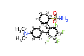 CN(C)c1ccc(-c2c(F)c(F)c(F)c(F)c2-c2ccccc2S(N)(=O)=O)cc1